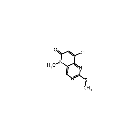 CSc1ncc2c(n1)c(Cl)cc(=O)n2C